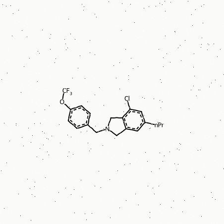 CCCc1cc(Cl)c2c(c1)CN(Cc1ccc(OC(F)(F)F)cc1)C2